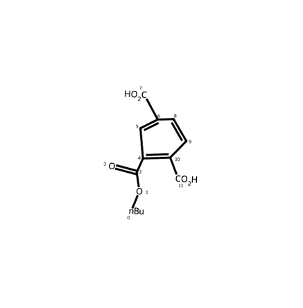 CCCCOC(=O)c1cc(C(=O)O)ccc1C(=O)O